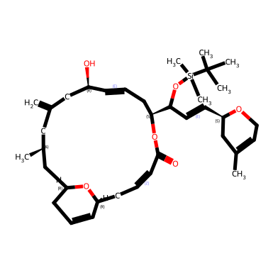 C=C1C[C@H](C)C[C@@H]2CC=C[C@@H](C/C=C\C(=O)O[C@H](C(/C=C/[C@@H]3CC(C)=CCO3)O[Si](C)(C)C(C)(C)C)C/C=C/[C@H](O)C1)O2